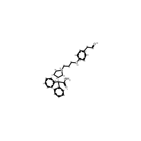 NC(=O)C(c1ccccc1)(c1ccccc1)[C@@H]1CCN(CCCOc2ccc(CC=O)cc2)C1